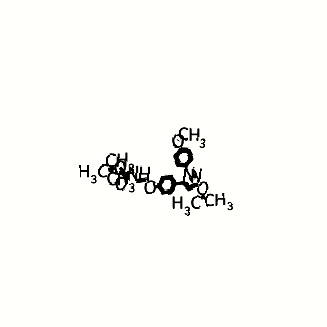 COc1ccc(-n2nc(OC(C)C)cc2-c2ccc(OCCNC(=O)OC(C)(C)C)cc2)cc1